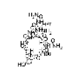 CC[C@H](C)[C@@H]1NC(=O)[C@H](Cc2ccc(O)cc2)NC(=O)CCC(=O)NC[C@@H](C(=O)N(C)CC(=O)N[C@@H](CCC(C)C)C(=O)NCC(N)=O)NC(=O)[C@H](CC(N)=O)NC(=O)[C@H](CCC(N)=O)NC1=O